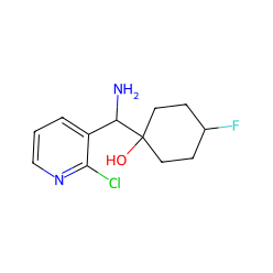 NC(c1cccnc1Cl)C1(O)CCC(F)CC1